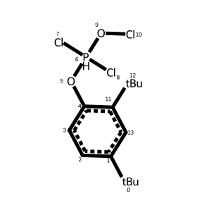 CC(C)(C)c1ccc(O[PH](Cl)(Cl)OCl)c(C(C)(C)C)c1